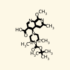 COc1nc(C)cc2c(N3C[C@@H](C)N(C(=O)OC(C)(C)C)[C@@H](C)C3)c(C(=O)O)cnc12